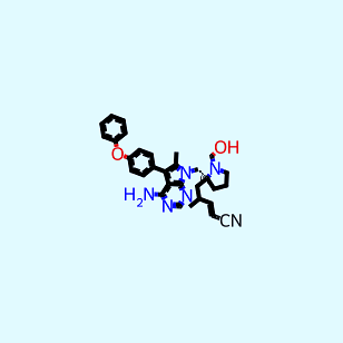 Cc1c(-c2ccc(Oc3ccccc3)cc2)c2c(N)ncnc2n1C[C@@]1(CC(C)C=CC#N)CCCN1CO